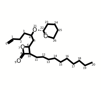 C=CCCC(CC1OC(=O)C1CCCCCCCCCC)O[C@@H]1CCCCO1